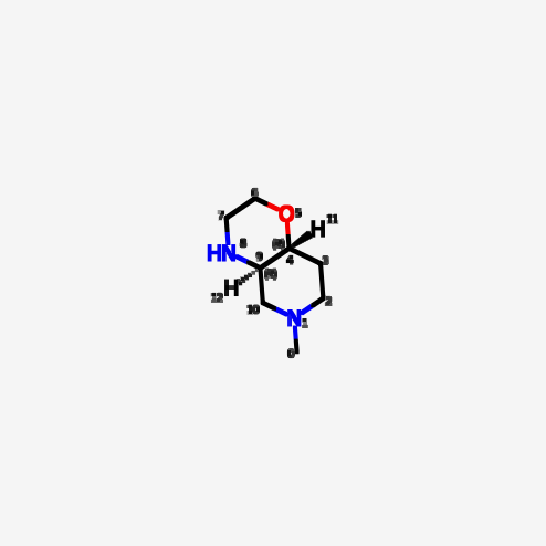 CN1CC[C@H]2OCCN[C@@H]2C1